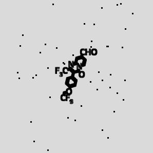 O=Cc1ccn2c(=O)c(-c3ccc(OCC(F)(F)F)cc3)c(C(F)(F)F)nc2c1